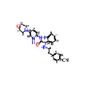 N#Cc1ccc(CCNC(C(=O)NC2C=CC(N3CCOCC3)=CN2)c2ccccc2)cc1